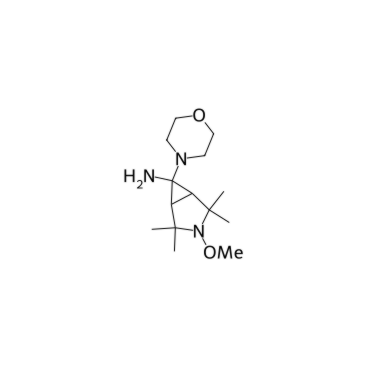 CON1C(C)(C)C2C(C1(C)C)C2(N)N1CCOCC1